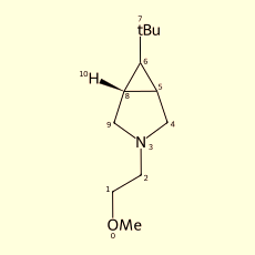 COCCN1CC2C(C(C)(C)C)[C@H]2C1